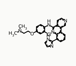 CN(C)CCOc1ccc(Nc2nc3c(-c4ncc[nH]4)cccc3c3cnccc23)c(Cl)c1